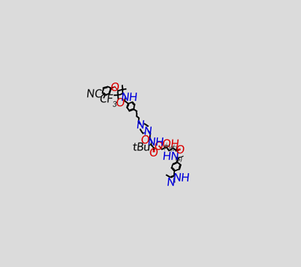 Cc1nc[nH]c1-c1ccc([C@H](C)NC(=O)[C@@H](C)C[C@@H](O)COC(=O)C(NC(=O)CN2CCN(CCCCc3ccc(C(=O)N[C@H]4C(C)(C)[C@H](Oc5ccc(C#N)c(C(F)(F)F)c5)C4(C)C)cc3)CC2)C(C)(C)C)cc1